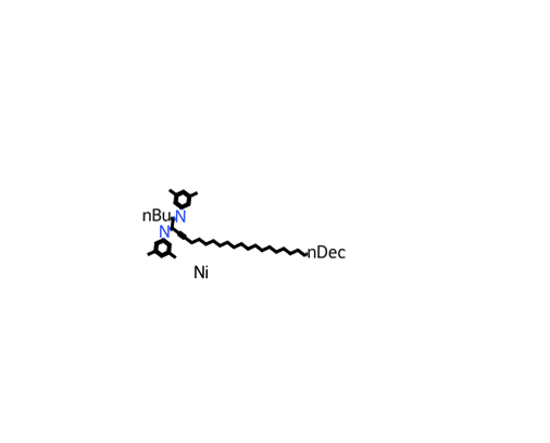 CCCCCCCCCCCCCCCCCCCCCCCCCCCC#CC(=N\c1cc(C)cc(C)c1)/C(CCCC)=N/c1cc(C)cc(C)c1.[Ni]